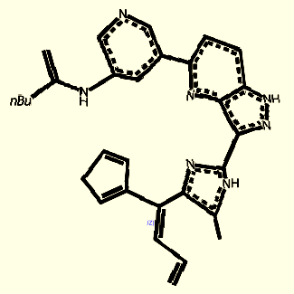 C=C/C=C(/C1=CCC=C1)c1nc(-c2n[nH]c3ccc(-c4cncc(NC(=C)CCCC)c4)nc23)[nH]c1C